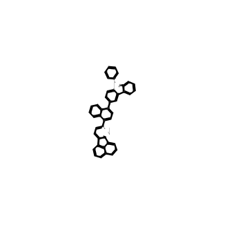 c1ccc(-n2c3ccccc3c3cc(-c4ccc(-c5ccc6c(n5)-c5cccc7cccc-6c57)c5ccccc45)ccc32)cc1